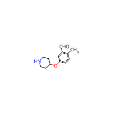 Cc1ccc(OC2CCNCC2)cc1C=O